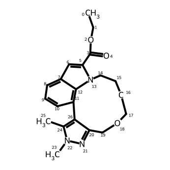 CCOC(=O)c1cc2cccc3c2n1CCCCOCc1nn(C)c(C)c1-3